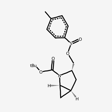 Cc1ccc(S(=O)OC[C@@H]2C[C@H]3C[C@H]3N2C(=O)OC(C)(C)C)cc1